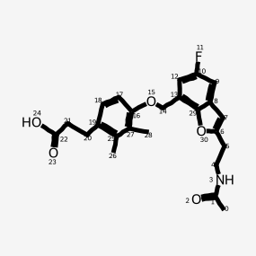 CC(=O)NCCc1cc2cc(F)cc(COc3ccc(CCC(=O)O)c(C)c3C)c2o1